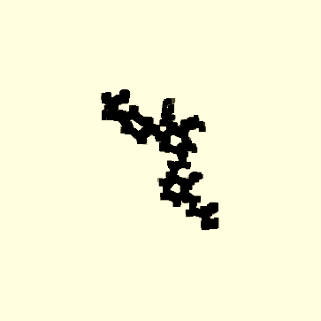 [C-]#[N+]c1c(N)nc(SCc2cccc(CCC(=O)O)[n+]2[O-])nc1-c1ccc(NC(C)=O)cc1